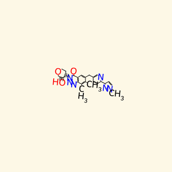 Cc1c(Cc2ccc(-c3ccn(C)n3)nc2)cc2c(=O)n([C@H]3CCOC[C@@H]3O)nnc2c1C